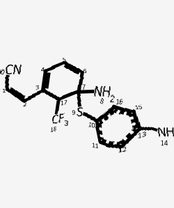 N#C/C=C\C1=CC=CC(N)(Sc2ccc(N)cc2)C1C(F)(F)F